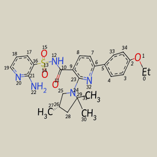 CCOc1ccc(-c2ccc(C(=O)NS(=O)(=O)c3cccnc3N)c(N3C[C@@H](C)CC3(C)C)n2)cc1